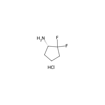 Cl.N[C@H]1CCCC1(F)F